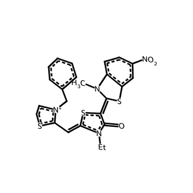 CCn1c(=O)/c(=C2\Sc3cc([N+](=O)[O-])ccc3N2C)s/c1=C\c1scc[n+]1Cc1ccccc1